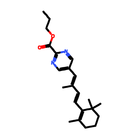 CCCOC(=O)c1ncc(/C=C(\C)C=CC2=C(C)CCCC2(C)C)cn1